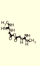 CNC(=N)NCC(=O)OC(=O)CNC(=N)NC